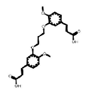 COc1ccc(/C=C/C(=O)O)cc1OCCCOc1cc(/C=C/C(=O)O)ccc1OC